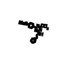 CSc1ccc(-c2nc(NCCN3CCCC3)nc(C(Cl)(Cl)Cl)n2)cc1